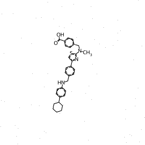 CN(Cc1ccc(C(=O)O)cc1)c1nc(-c2ccc(CNc3ccc(C4CCCCC4)cc3)cc2)cs1